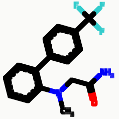 CN(CC(N)=O)c1ccccc1-c1ccc(C(F)(F)F)cc1